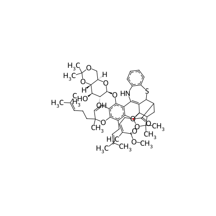 COC(=O)/C(C)=C\CC12OC(C)(C)C3CC(C1=O)C1Sc4ccccc4NC4=C1C32Oc1c(CC=C(C)C)c2c(c(O[C@@H]3O[C@@H]5COC(C)(C)O[C@H]5[C@H](O)[C@H]3O)c14)C=CC(C)(CCC=C(C)C)O2